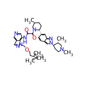 C[C@H]1CC[C@H](c2ccc3cn([C@H]4CCN(C)C[C@H]4C)nc3c2)N(C(=O)C(=O)Nc2cncc3cnn(COCC[Si](C)(C)C)c23)C1